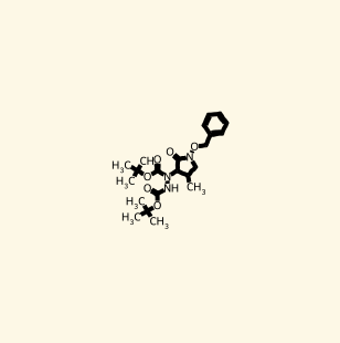 CC1CN(OCc2ccccc2)C(=O)C1N(NC(=O)OC(C)(C)C)C(=O)OC(C)(C)C